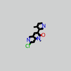 Cc1ccncc1-c1cc2cnc(Cl)cc2n(C)c1=O